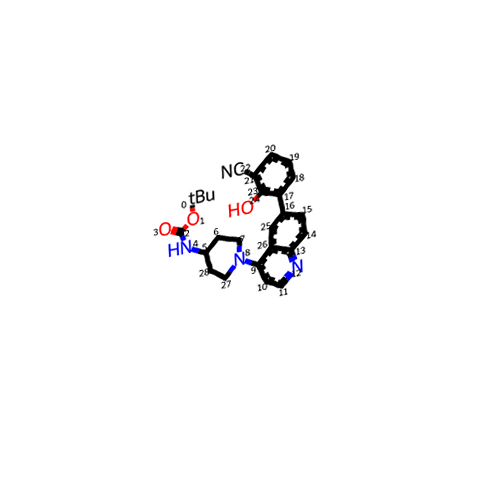 CC(C)(C)OC(=O)NC1CCN(c2ccnc3ccc(-c4cccc(C#N)c4O)cc23)CC1